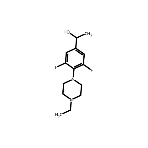 CCN1CCN(c2c(F)cc(C(C)O)cc2F)CC1